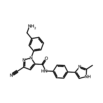 Cc1nc(-c2ccc(NC(=O)c3cc(C#N)nn3-c3cccc(CN)c3)cc2)c[nH]1